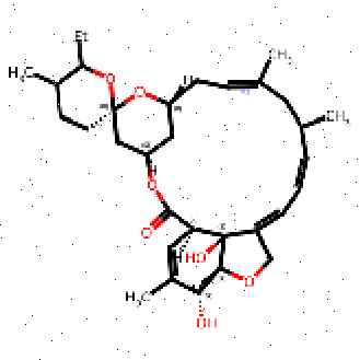 CCC1O[C@]2(CCC1C)C[C@@H]1C[C@@H](C/C=C(\C)CC(C)C=CC=C3CO[C@@H]4[C@H](O)C(C)=C[C@@H](C(=O)O1)[C@]34O)O2